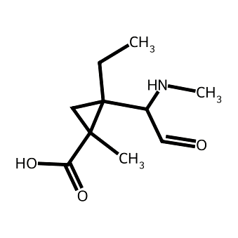 CCC1(C(C=O)NC)CC1(C)C(=O)O